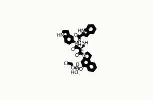 O=C(NN(C(=O)[C@@H](CS)C(=O)N1CCc2c1cc(OP(=O)(O)OCCl)c1ccccc21)c1ccc2[nH]ccc2c1)c1cc2ccccc2[nH]1